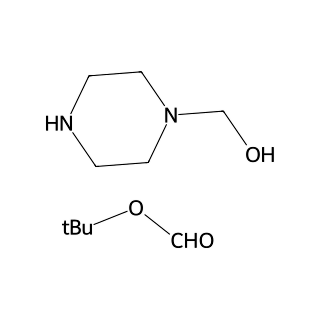 CC(C)(C)OC=O.OCN1CCNCC1